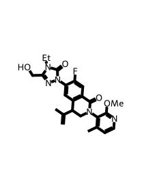 C=C(C)C1CN(c2c(C)ccnc2OC)C(=O)c2cc(F)c(-n3nc(CO)n(CC)c3=O)cc21